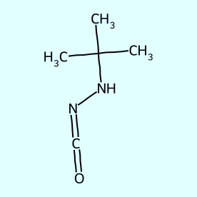 CC(C)(C)NN=C=O